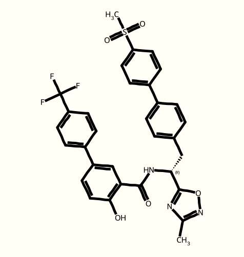 Cc1noc([C@@H](Cc2ccc(-c3ccc(S(C)(=O)=O)cc3)cc2)NC(=O)c2cc(-c3ccc(C(F)(F)F)cc3)ccc2O)n1